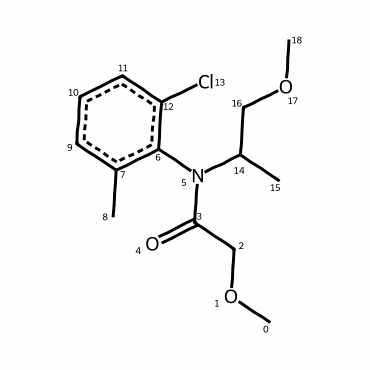 COCC(=O)N(c1c(C)cccc1Cl)C(C)COC